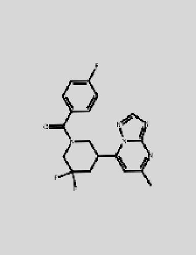 Cc1cc(C2CN(C(=O)c3ccc(F)cc3)CC(F)(F)C2)n2ncnc2n1